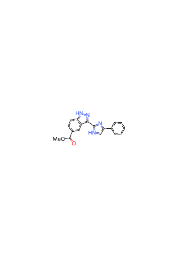 COC(=O)c1ccc2[nH]nc(-c3nc(-c4ccccc4)c[nH]3)c2c1